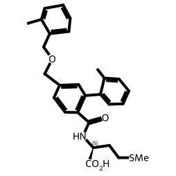 CSCC[C@H](NC(=O)c1ccc(COCc2ccccc2C)cc1-c1ccccc1C)C(=O)O